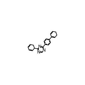 C1=CCC(c2ncnc(-c3ccc(C4=CCCC=C4)cc3)n2)C=C1